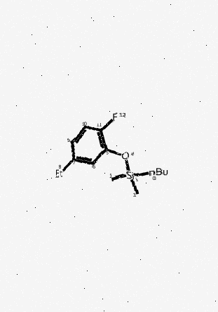 CCCC[Si](C)(C)Oc1cc(CC)ccc1F